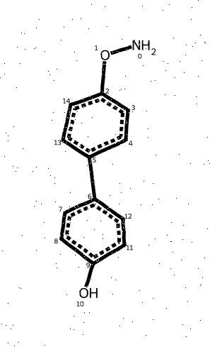 NOc1ccc(-c2ccc(O)cc2)cc1